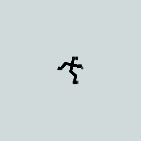 CC(=O)CC(O)(CCO)C(F)(F)F